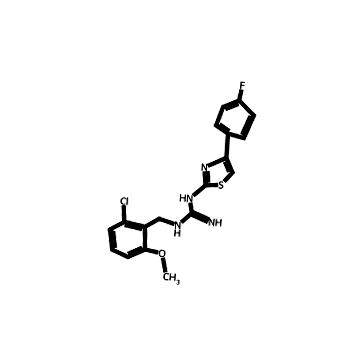 COc1cccc(Cl)c1CNC(=N)Nc1nc(-c2ccc(F)cc2)cs1